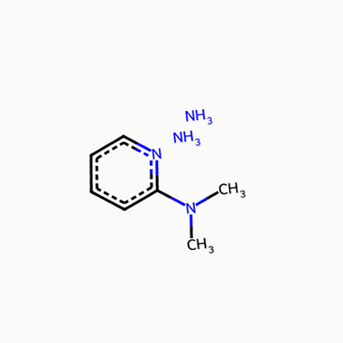 CN(C)c1ccccn1.N.N